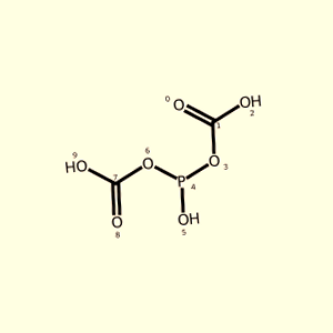 O=C(O)OP(O)OC(=O)O